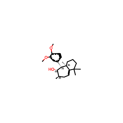 COc1c#cc([C@H]2[C@@H](O)[C@H](C)CC=C3C(C)(C)CCC[C@@]32C)cc1OC